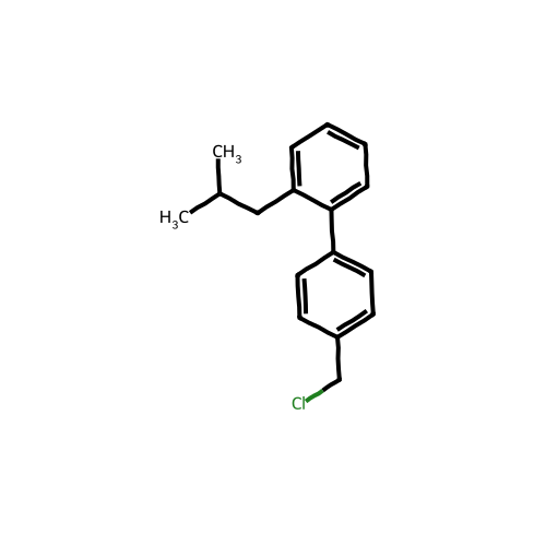 CC(C)Cc1ccccc1-c1ccc(CCl)cc1